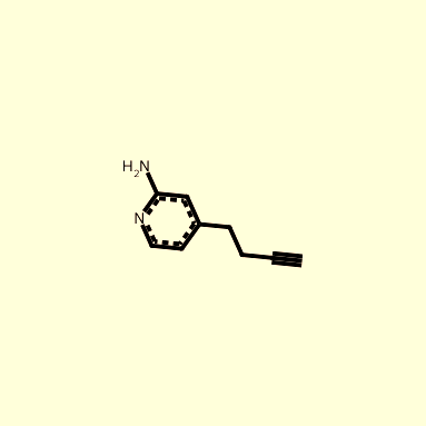 C#CCCc1ccnc(N)c1